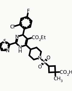 CCOC(=O)C1=C(C2CCN(S(=O)(=O)C3CC(C)(C(=O)O)C3)CC2)NC(c2nccs2)=NC1c1ccc(F)cc1Cl